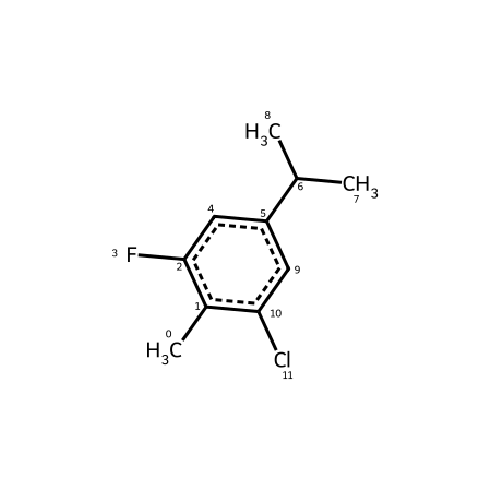 Cc1c(F)cc(C(C)C)cc1Cl